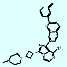 C=C/C=C(\C=C/C)c1ccc2ccc(-c3nc([C@H]4C[C@@H](N5CCN(C)CC5)C4)n4ccnc(N)c34)cc2n1